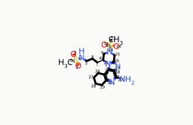 CS(=O)(=O)NCCC[C@H]1CN(S(C)(=O)=O)Cc2nc3c(N)nc4c(c3n21)CCCC4